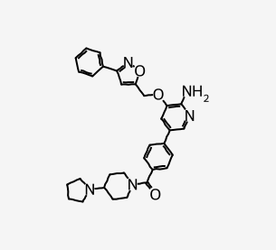 Nc1ncc(-c2ccc(C(=O)N3CCC(N4CCCC4)CC3)cc2)cc1OCc1cc(-c2ccccc2)no1